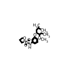 CCC(OC)C(CC(C)C)Oc1cccc(NS(=O)(=O)N2CCCO2)c1